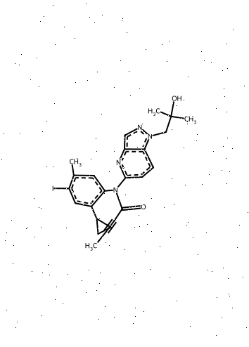 CC#CC(=O)N(c1ccc2c(cnn2CC(C)(C)O)n1)c1cc(C)c(I)cc1C1CC1